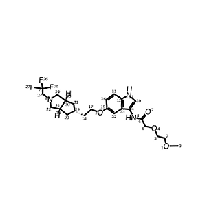 COCCOCC(=O)Nc1c[nH]c2ccc(OCC[C@@H]3C[C@@H]4CN(CC(F)(F)F)C[C@@H]4C3)cc12